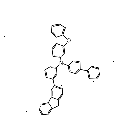 c1ccc(-c2ccc(N(c3cccc(-c4ccc5c(c4)-c4ccccc4C5)c3)c3ccc4c(c3)oc3ccccc34)cc2)cc1